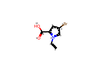 C=Cn1cc(Br)cc1C(=O)O